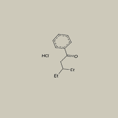 CCC(CC)CC(=O)c1ccccc1.Cl